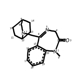 CN1C(=O)CN=C(N2CC3CCC2CC3)c2ccccc21